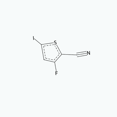 N#Cc1sc(I)cc1F